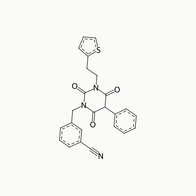 N#Cc1cccc(CN2C(=O)C(c3ccccc3)C(=O)N(CCc3cccs3)C2=O)c1